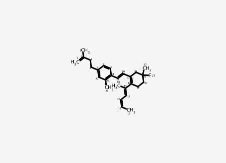 C=C(C)CCc1ccc(/C=C/C2=C(C(/C)=C/C=C\C)CCC(C)(F)C2)c(C)c1